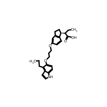 CCCc1c(OCCCOc2ccc3c(c2)CC[C@H]3C(CC)C(=O)O)ccc2[nH]ccc12